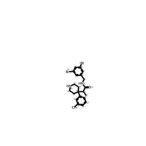 CC(C(=O)NCc1cc(Br)cc(Br)c1)C1(c2cccc(Cl)c2)CCNCC1